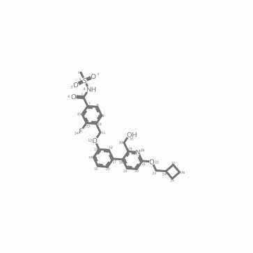 CS(=O)(=O)NC(=O)c1ccc(COc2cccc(-c3ccc(OCC4CCC4)nc3CO)c2)c(F)c1